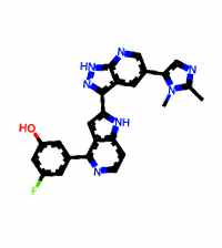 Cc1ncc(-c2cnc3[nH]nc(-c4cc5c(-c6cc(O)cc(F)c6)nccc5[nH]4)c3c2)n1C